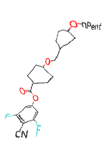 CCCCCOC1CCC(COC2CCC(C(=O)Oc3cc(F)c(C#N)c(F)c3)CC2)CC1